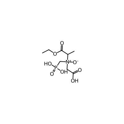 CCOC(=O)C(C)[N+]([O-])(CC(=O)O)CP(=O)(O)O